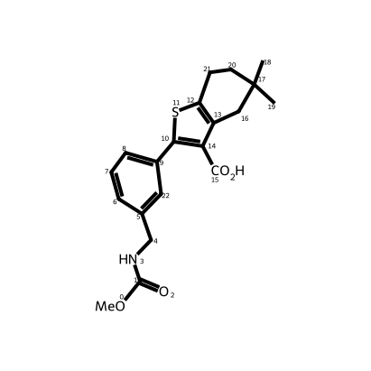 COC(=O)NCc1cccc(-c2sc3c(c2C(=O)O)CC(C)(C)CC3)c1